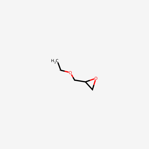 C[CH]OCC1CO1